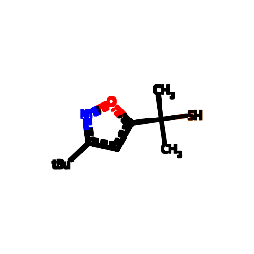 CC(C)(C)c1cc(C(C)(C)S)on1